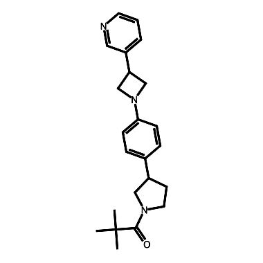 CC(C)(C)C(=O)N1CCC(c2ccc(N3CC(c4cccnc4)C3)cc2)C1